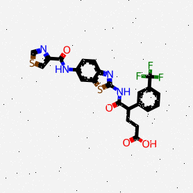 O=C(O)CCC(C(=O)Nc1nc2ccc(NC(=O)c3cscn3)cc2s1)c1cccc(C(F)(F)F)c1